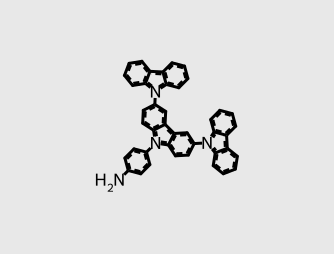 Nc1ccc(-n2c3ccc(-n4c5ccccc5c5ccccc54)cc3c3cc(-n4c5ccccc5c5ccccc54)ccc32)cc1